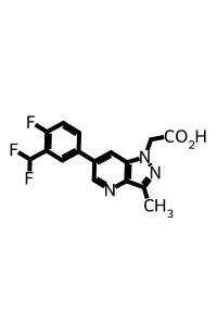 Cc1nn(CC(=O)O)c2cc(-c3ccc(F)c(C(F)F)c3)cnc12